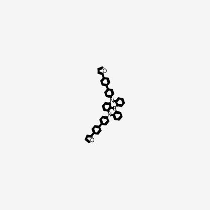 c1coc(-c2ccc(-c3ccc(N4c5ccccc5B5c6ccccc6N(c6ccc(-c7ccc(-c8ccco8)cc7)cc6)c6cccc4c65)cc3)cc2)c1